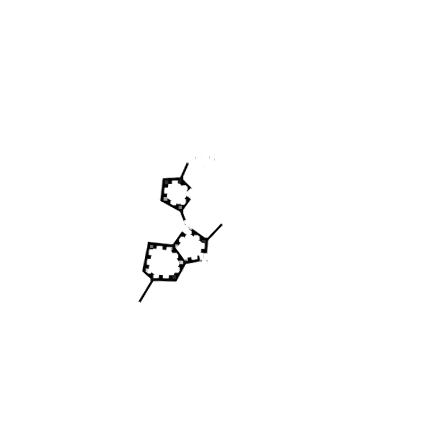 Cc1ccc2c(c1)nc(C)n2-c1ccc(C(=O)O)s1